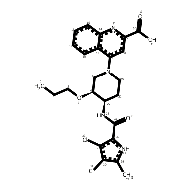 CCCO[C@H]1CN(c2cc(C(=O)O)nc3ccccc23)CC[C@H]1NC(=O)c1[nH]c(C)c(Cl)c1Cl